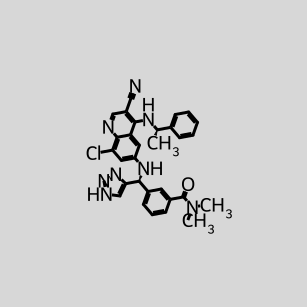 C[C@@H](Nc1c(C#N)cnc2c(Cl)cc(N[C@@H](c3cccc(C(=O)N(C)C)c3)c3c[nH]nn3)cc12)c1ccccc1